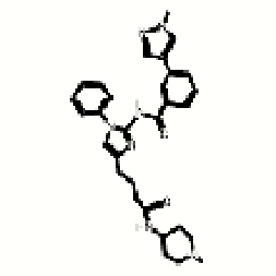 CN1CCC(NC(=O)CCCc2cn(-c3ccccc3)c(NC(=O)c3cccc(-c4cnn(C)c4)c3)n2)CC1